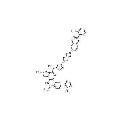 Cc1ncsc1-c1ccc(C(C)NC(=O)[C@H]2C[C@H](O)CN2C(=O)C(c2cc(N3CC4(CN(c5ccc6cc(-c7ccccc7O)nnc6c5)C4)C3)no2)C(C)C)cc1